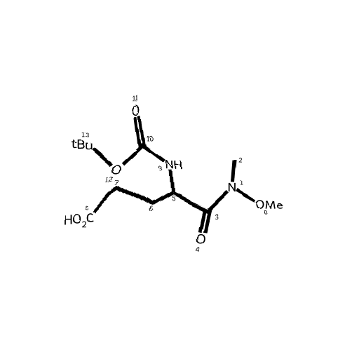 CON(C)C(=O)C(CCC(=O)O)NC(=O)OC(C)(C)C